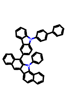 c1ccc(-c2ccc(-n3c4ccccc4c4cc(-c5c6ccccc6cc6c7ccc8ccccc8c7n(-c7ccccc7)c56)ccc43)cc2)cc1